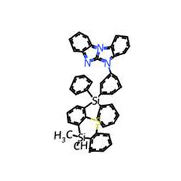 C[Si]1(C)c2ccccc2Sc2c1cccc2[Si](c1ccccc1)(c1ccccc1)c1cccc(-n2c3ccccc3n3c4ccccc4nc23)c1